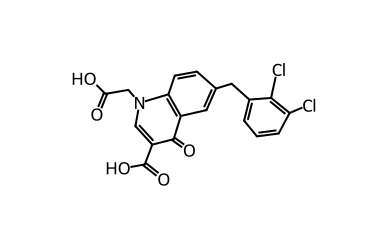 O=C(O)Cn1cc(C(=O)O)c(=O)c2cc(Cc3cccc(Cl)c3Cl)ccc21